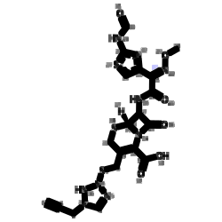 C#CCN1C=NN(SCC2=C(C(=O)O)N3C(=O)C(NC(=O)/C(=N/OC)c4csc(NC=O)n4)[C@H]3SC2)N1